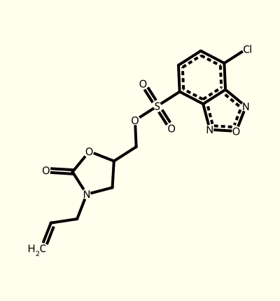 C=CCN1CC(COS(=O)(=O)c2ccc(Cl)c3nonc23)OC1=O